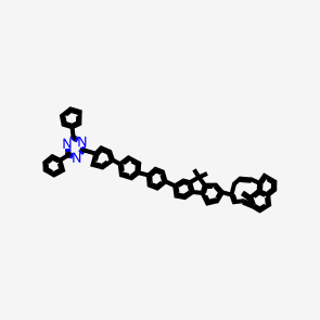 C=c1/c2ccc3cccc(c13)/C=C\C/C(c1ccc3c(c1)C(C)(C)c1cc(-c4ccc(-c5ccc(-c6ccc(-c7nc(-c8ccccc8)nc(-c8ccccc8)n7)cc6)cc5)cc4)ccc1-3)=C\C=2